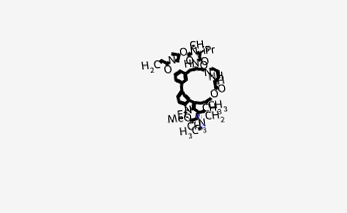 C=CC(=O)N1CC(OC(=O)N(C)[C@H](C(=O)N[C@H]2Cc3cccc(c3)-c3ccc4c(c3)c(c(/C(C=C)=C(/N=C\C)[C@H](C)OC)n4CC)CC(C)(C)COC(=O)[C@@H]3CCCN(N3)C2=O)C(C)C)C1